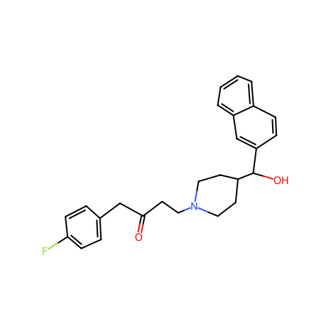 O=C(CCN1CCC(C(O)c2ccc3ccccc3c2)CC1)Cc1ccc(F)cc1